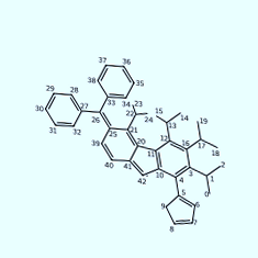 CC(C)c1c(C2=CC=CC2)c2c(c(C(C)C)c1C(C)C)-c1c(C(C)C)c(=C(c3ccccc3)c3ccccc3)ccc1=[C]2